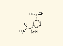 NC(=O)c1nnc2ccc(B(O)O)cn12